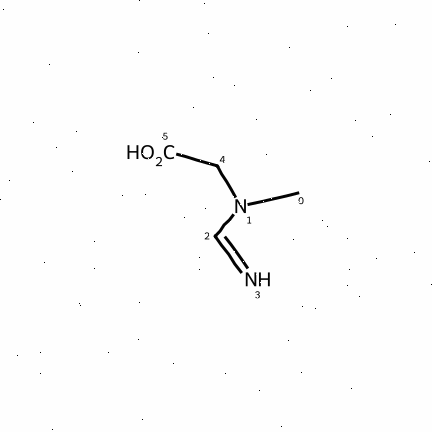 CN(C=N)CC(=O)O